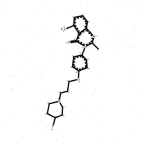 Cc1nc2cccc(C(F)(F)F)c2c(=O)n1-c1ccc(OCCCN2CCC(F)CC2)cc1